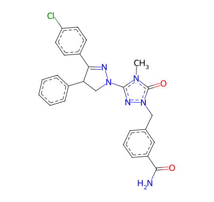 Cn1c(N2CC(c3ccccc3)C(c3ccc(Cl)cc3)=N2)nn(Cc2cccc(C(N)=O)c2)c1=O